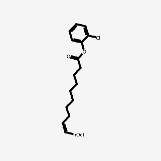 CCCCCCCC/C=C\CCCCCCCC(=O)Oc1ccccc1Cl